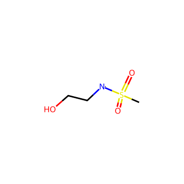 CS(=O)(=O)[N]CCO